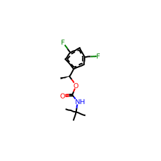 C[C@H](OC(=O)NC(C)(C)C)c1cc(F)cc(F)c1